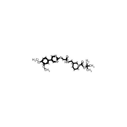 COc1ccc(-c2cnc(SCC(=O)NCC3CCCN(C(=O)OC(C)(C)C)C3)nc2)cc1OC